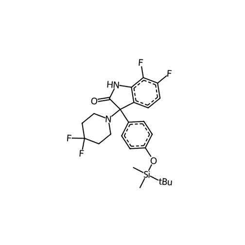 CC(C)(C)[Si](C)(C)Oc1ccc(C2(N3CCC(F)(F)CC3)C(=O)Nc3c2ccc(F)c3F)cc1